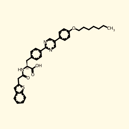 CCCCCCCOc1ccc(-c2cnc(-c3ccc(C[C@H](NC(=O)Cc4cc5ccccc5s4)C(=O)O)cc3)nc2)cc1